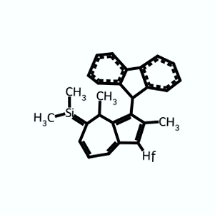 CC1=[C]([Hf])C2=CC=CC(=[Si](C)C)C(C)C2=C1C1c2ccccc2-c2ccccc21